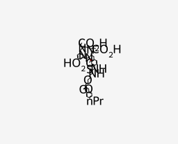 CCCc1ccc(OC(=O)CCOCCNC(=S)Nc2ccc(CC3CN(CC(=O)O)CCN(CC(=O)O)Cc4cccc(n4)CN3CC(=O)O)cc2)cc1